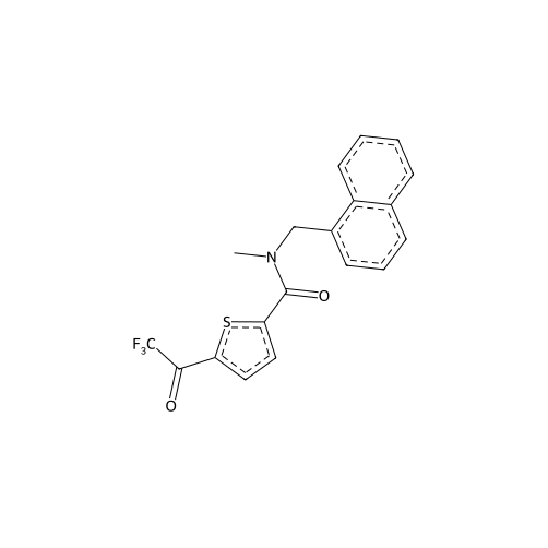 CN(Cc1cccc2ccccc12)C(=O)c1ccc(C(=O)C(F)(F)F)s1